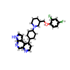 Fc1ccc(OCC2CCCN(C3[CH]CC(c4ccnc5cnc6[nH]ccc6c45)CC3)C2)c(F)c1